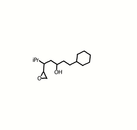 CC(C)C(CC(O)CCC1CCCCC1)C1CO1